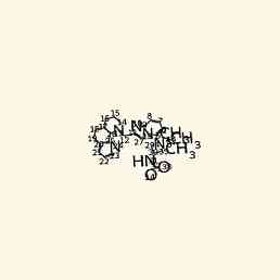 CC(C)(C)[N+]1(c2cccc3nc(CN4CCCC5CCc6cccnc6C54)cn23)CC(NC(=O)[O-])C1